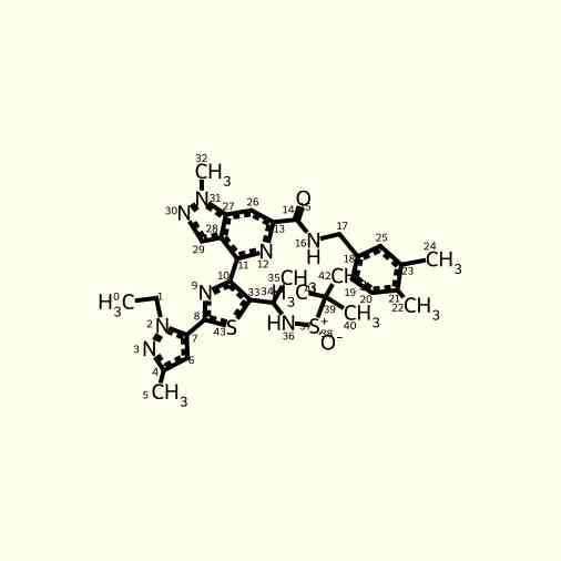 CCn1nc(C)cc1-c1nc(-c2nc(C(=O)NCc3ccc(C)c(C)c3)cc3c2cnn3C)c(C(C)N[S+]([O-])C(C)(C)C)s1